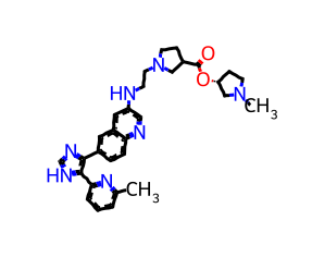 Cc1cccc(-c2[nH]cnc2-c2ccc3ncc(NCCN4CCC(C(=O)O[C@@H]5CCN(C)C5)C4)cc3c2)n1